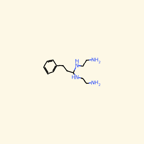 NCCN[C](CCc1ccccc1)NCCN